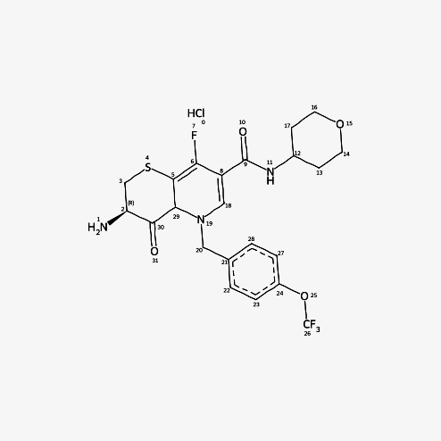 Cl.N[C@H]1CSC2=C(F)C(C(=O)NC3CCOCC3)=CN(Cc3ccc(OC(F)(F)F)cc3)C2C1=O